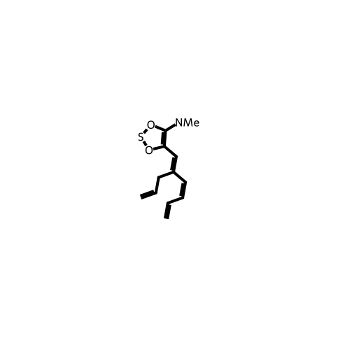 C=C/C=C\C(=C\C1=C(NC)OSO1)CC=C